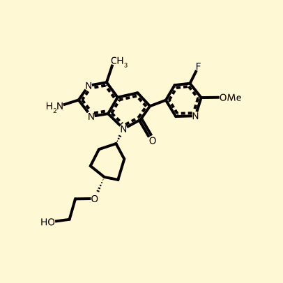 COc1ncc(-c2cc3c(C)nc(N)nc3n([C@H]3CC[C@@H](OCCO)CC3)c2=O)cc1F